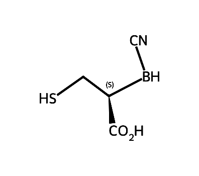 N#CB[C@H](CS)C(=O)O